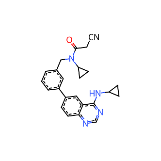 N#CCC(=O)N(Cc1cccc(-c2ccc3ncnc(NC4CC4)c3c2)c1)C1CC1